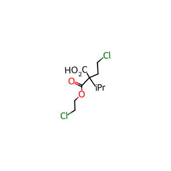 CC(C)C(CCCl)(C(=O)O)C(=O)OCCCl